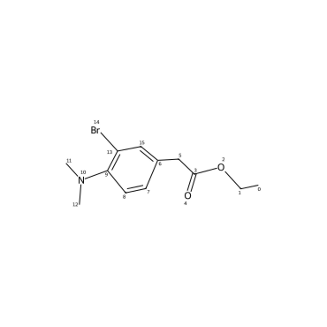 CCOC(=O)Cc1ccc(N(C)C)c(Br)c1